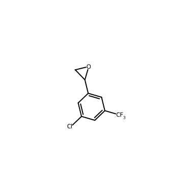 FC(F)(F)c1cc(Cl)cc(C2CO2)c1